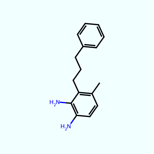 Cc1ccc(N)c(N)c1CCCc1ccccc1